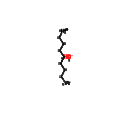 CC(C)CCCCCC[CH2][Hf+].[OH-]